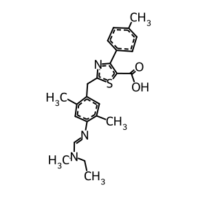 CCN(C)C=Nc1cc(C)c(Cc2nc(-c3ccc(C)cc3)c(C(=O)O)s2)cc1C